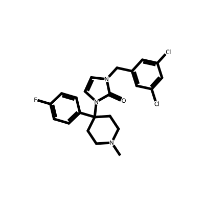 CN1CCC(c2ccc(F)cc2)(n2ccn(Cc3cc(Cl)cc(Cl)c3)c2=O)CC1